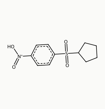 O=[N+](O)c1ccc(S(=O)(=O)C2CCCC2)cc1